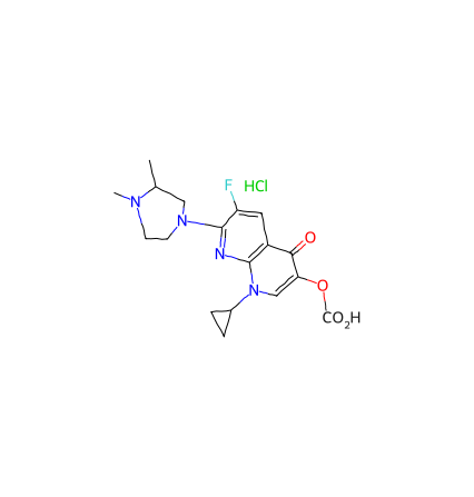 CC1CN(c2nc3c(cc2F)c(=O)c(OC(=O)O)cn3C2CC2)CCN1C.Cl